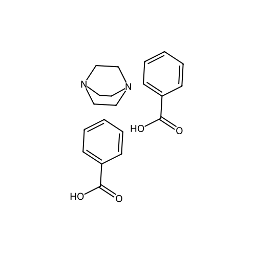 C1CN2CCN1CC2.O=C(O)c1ccccc1.O=C(O)c1ccccc1